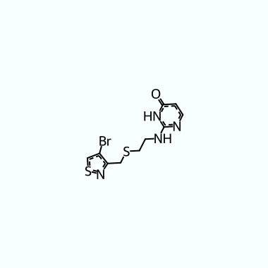 O=c1ccnc(NCCSCc2nscc2Br)[nH]1